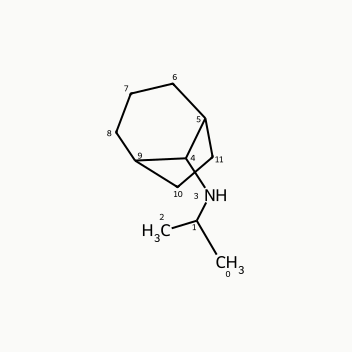 CC(C)NC1C2CCCC1CC2